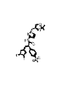 CC1(C)OC[C@H](Cn2ccc(NC(=O)/C(=C/C3CC(F)C(F)C3)c3ccc(S(C)(=O)=O)cc3)n2)O1